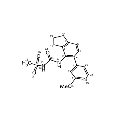 COc1cc(-c2ccc3c(c2NC(=O)NS(C)(=O)=O)CCC3)ccn1